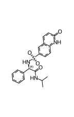 CC(C)NC(=O)[C@H](NS(=O)(=O)c1ccc2[nH]c(=O)ccc2c1)c1ccccc1